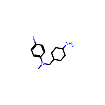 CN(CC1CCC(N)CC1)c1ccc(I)cc1